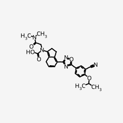 CC(C)Oc1ccc(-c2nc(C3=C4CCC(N(CC(=O)N(C)C)C(=O)O)=C4CC=C3)no2)cc1C#N